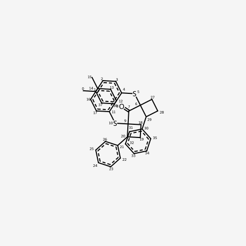 Cc1ccc(SC2(C(=O)C3(Sc4ccc(C)cc4)CCC3c3ccccc3)CCC2c2ccccc2)cc1